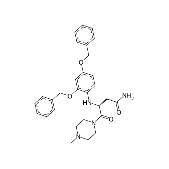 CN1CCN(C(=O)[C@H](CC(N)=O)Nc2ccc(OCc3ccccc3)cc2OCc2ccccc2)CC1